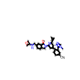 Cn1cnnc1-c1cc(C#N)ccc1-c1cc(C2CC2)nc(N2Cc3ccc(CNC4COC4)cc3C2=O)c1